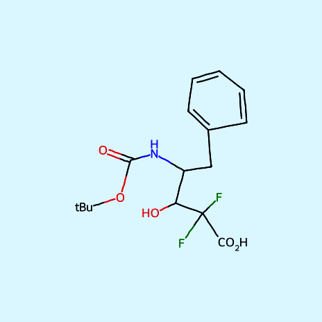 CC(C)(C)OC(=O)NC(Cc1ccccc1)C(O)C(F)(F)C(=O)O